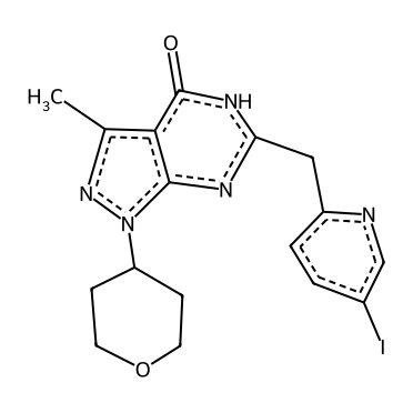 Cc1nn(C2CCOCC2)c2nc(Cc3ccc(I)cn3)[nH]c(=O)c12